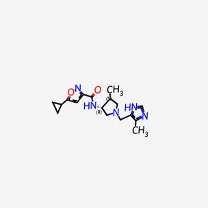 Cc1nc[nH]c1CN1C[C@H](NC(=O)c2cc(C3CC3)on2)[C@@H](C)C1